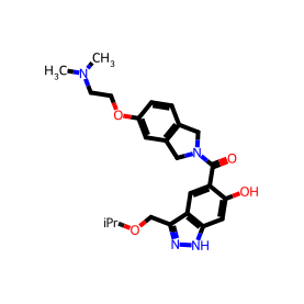 CC(C)OCc1n[nH]c2cc(O)c(C(=O)N3Cc4ccc(OCCN(C)C)cc4C3)cc12